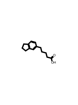 O=C(O)CCCCc1ccc2c(c1)CCC2